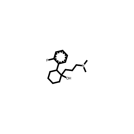 CN(C)CCCC1(O)CCCCC1c1ccccc1F